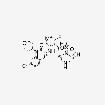 C[C@@H]1CNC[C@H](CCc2c(F)cncc2N[C@@H](Cc2ccc(Cl)cc2)C(=O)NC2CCOCC2)N1S(C)(=O)=O